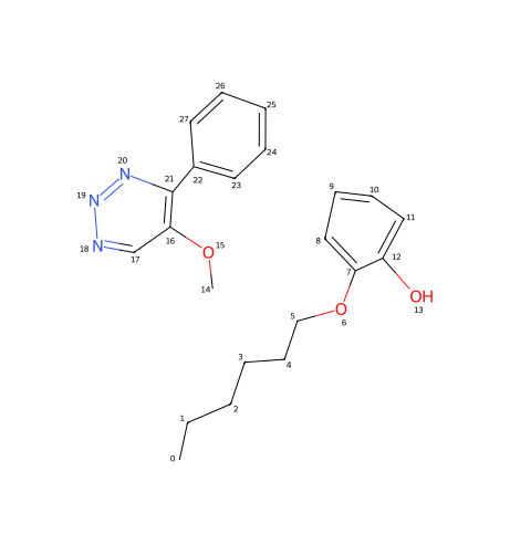 CCCCCCOc1ccccc1O.COc1cnnnc1-c1ccccc1